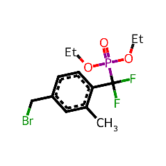 CCOP(=O)(OCC)C(F)(F)c1ccc(CBr)cc1C